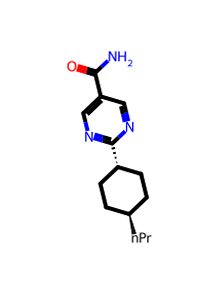 CCC[C@H]1CC[C@H](c2ncc(C(N)=O)cn2)CC1